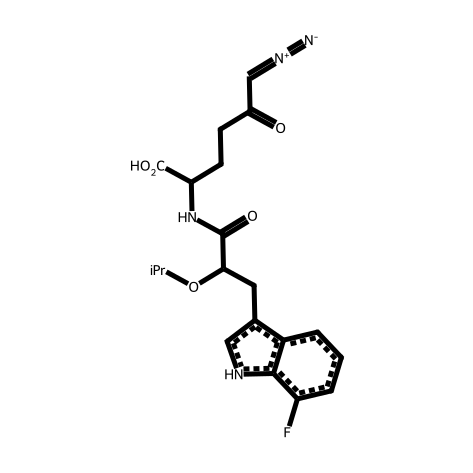 CC(C)OC(Cc1c[nH]c2c(F)cccc12)C(=O)NC(CCC(=O)C=[N+]=[N-])C(=O)O